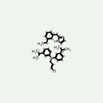 CC(C)c1cccc(B(CC=CCl)c2cccc(C(C)C)c2)c1.CCc1cccc(Cc2ncc[nH]2)c1